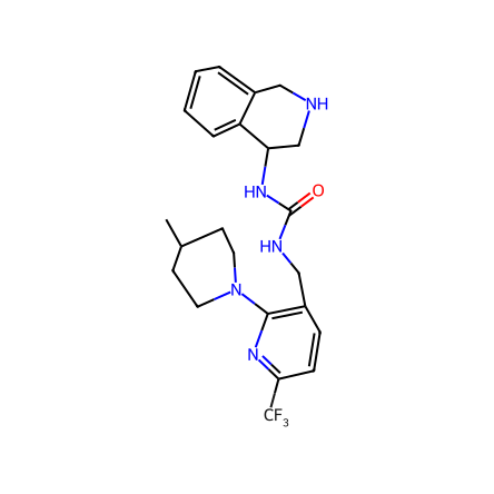 CC1CCN(c2nc(C(F)(F)F)ccc2CNC(=O)NC2CNCc3ccccc32)CC1